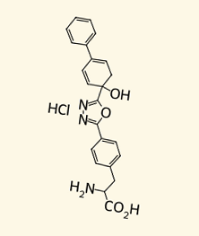 Cl.NC(Cc1ccc(-c2nnc(C3(O)C=CC(c4ccccc4)=CC3)o2)cc1)C(=O)O